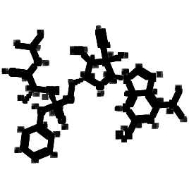 C#C[C@@]1(F)[C@H](O)[C@@H](CO[P@@](=O)(N[C@H](C)C(=O)OC(C)C)Oc2ccccc2)O[C@H]1n1cnc2c(N(C)C)nc(N)nc21